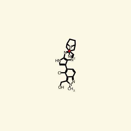 Cn1nc2ccc(-c3c[nH]c4nc(N5C6CCC5CC(N)C6)cnc34)c(Cl)c2c1CO